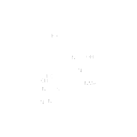 CNc1cc(C(C)Sc2nncn2C)cc(N2Cc3c(cccc3C(F)(F)F)C2O)n1